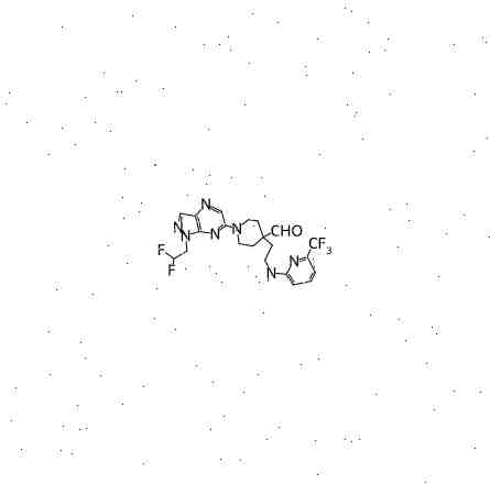 CN(CCC1(C=O)CCN(c2cnc3cnn(CC(F)F)c3n2)CC1)c1cccc(C(F)(F)F)n1